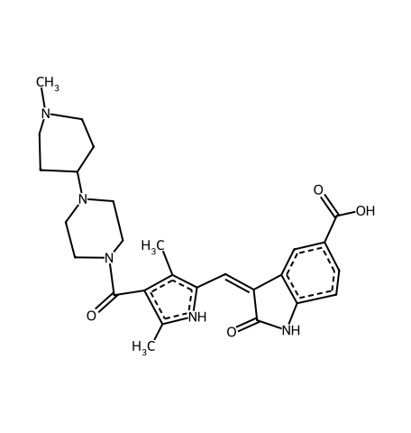 Cc1[nH]c(C=C2C(=O)Nc3ccc(C(=O)O)cc32)c(C)c1C(=O)N1CCN(C2CCN(C)CC2)CC1